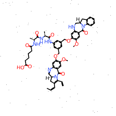 C=CC1=C(/C=C\C)C[C@H]2C=Nc3cc(OCc4cc(COc5cc6c(cc5OC)C(=O)N5c7ccccc7C[C@H]5CN6)cc(NC(=O)[C@H](C)NC(=O)[C@H](C)NC(=O)CCCCC(=O)O)c4)c(OC)cc3C(=O)N12